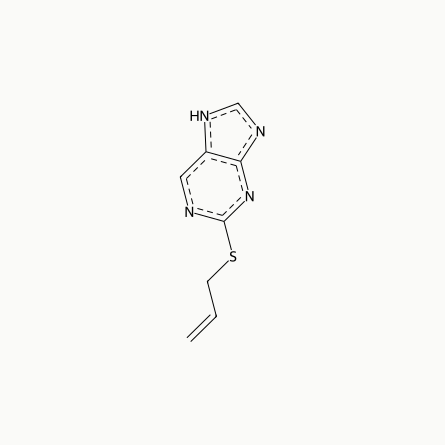 C=CCSc1ncc2[nH]cnc2n1